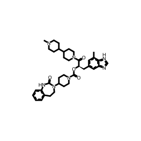 Cc1cc(C[C@@H](OC(=O)N2CCC(N3CCc4ccccc4NC3=O)CC2)C(=O)N2CCC(C3CCN(C)CC3)CC2)cc2nc[nH]c12